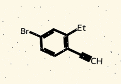 C#Cc1ccc(Br)cc1C[CH2]